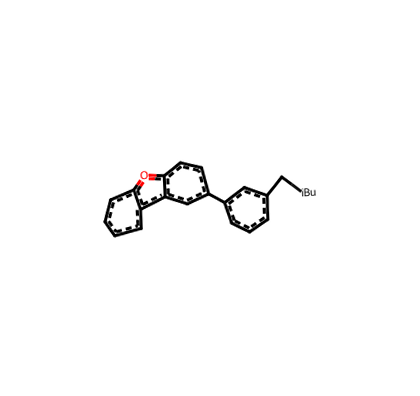 CCC(C)Cc1cccc(-c2ccc3oc4ccccc4c3c2)c1